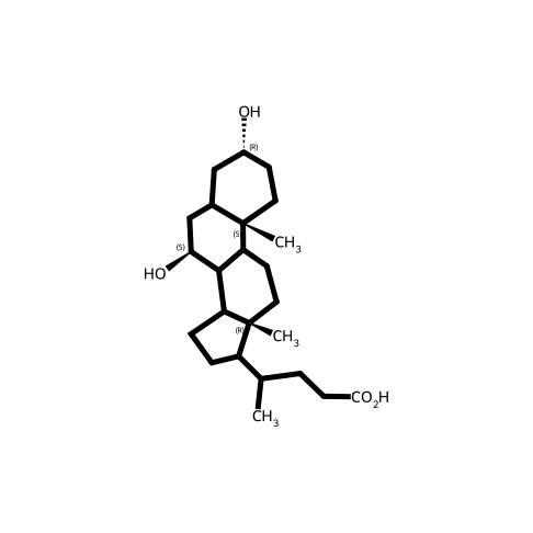 CC(CCC(=O)O)C1CCC2C3C(CC[C@]12C)[C@@]1(C)CC[C@@H](O)CC1C[C@@H]3O